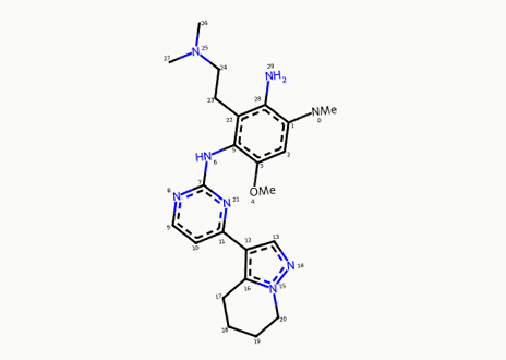 CNc1cc(OC)c(Nc2nccc(-c3cnn4c3CCCC4)n2)c(CCN(C)C)c1N